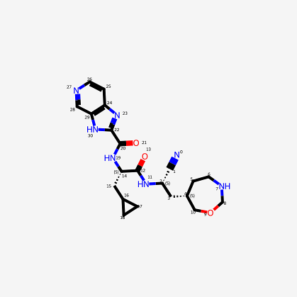 N#C[C@H](C[C@@H]1CCNCOC1)NC(=O)[C@H](CC1CC1)NC(=O)c1nc2ccncc2[nH]1